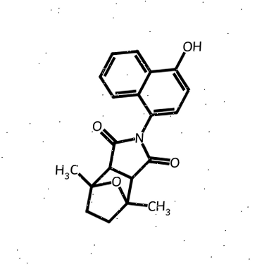 CC12CCC(C)(O1)C1C(=O)N(c3ccc(O)c4ccccc34)C(=O)C12